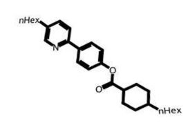 CCCCCCc1ccc(-c2ccc(OC(=O)C3CCC(CCCCCC)CC3)cc2)nc1